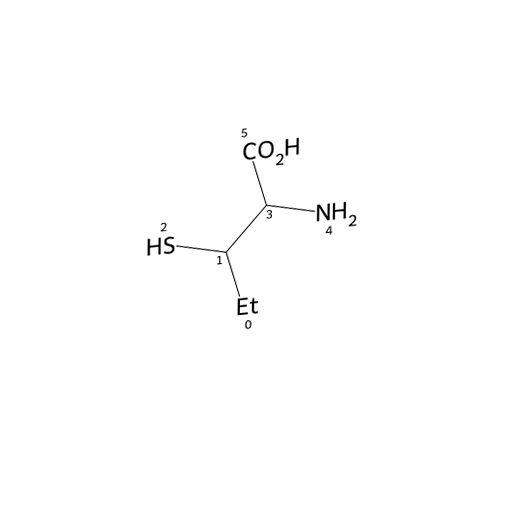 CCC(S)C(N)C(=O)O